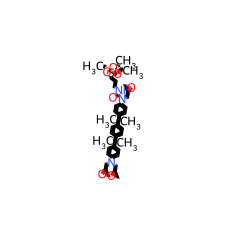 CCO[Si](CCCNC(=O)N(CC1CO1)c1ccc(C(C)(C)c2ccc(C(C)(C)c3ccc(N(CC4CO4)CC4CO4)cc3)cc2)cc1)(OCC)OCC